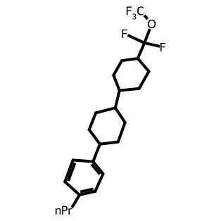 CCCc1ccc(C2CCC(C3CCC(C(F)(F)OC(F)(F)F)CC3)CC2)cc1